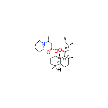 C=C[C@@H](C)CC(=O)[C@H]1[C@@H](C)CC[C@H]2C(C)(C)CCC(OC(=O)CC(C)N3CCCCC3)[C@]12C